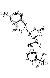 Nc1ncc2cc(C3=CC(C(=O)Nc4cccc(C(F)(F)F)c4)=CC(=S)C3)ccc2n1